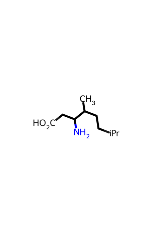 CC(C)CCC(C)C(N)CC(=O)O